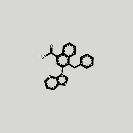 NC(=O)c1nc(-n2cnc3cccnc32)c(Cc2ccccc2)c2ccccc12